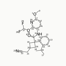 COc1ccc(NC(=O)C2(c3ccccc3C(C)C)CC(CC#N)C2)c(OC(F)F)n1